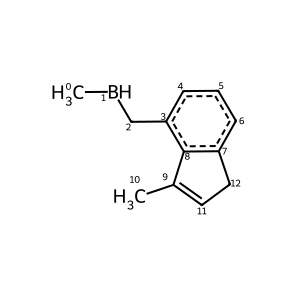 CBCc1cccc2c1C(C)=CC2